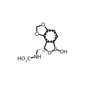 O=C(O)NC[C@H]1OB(O)c2ccc3c(c21)OCO3